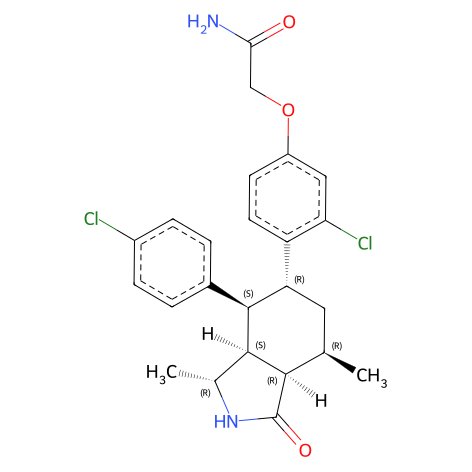 C[C@@H]1C[C@@H](c2ccc(OCC(N)=O)cc2Cl)[C@H](c2ccc(Cl)cc2)[C@H]2[C@@H]1C(=O)N[C@@H]2C